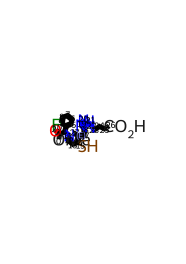 COC(=O)C(c1ccccc1F)N1CCC(S)/C(=C/c2nnnn2CCCC(=O)O)C1